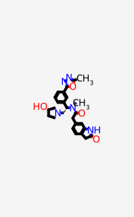 Cc1nnc(-c2cccc([C@@H](CN3CCC(O)C3)N(C)C(=O)Cc3ccc4c(c3)NC(=O)C4)c2)o1